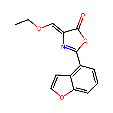 CCO/C=C1\N=C(c2cccc3occc23)OC1=O